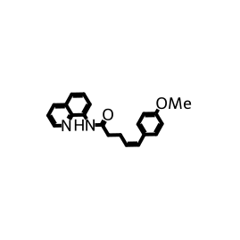 COc1ccc(/C=C\CCC(=O)Nc2cccc3cccnc23)cc1